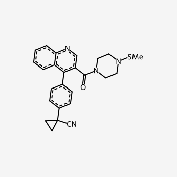 CSN1CCN(C(=O)c2cnc3ccccc3c2-c2ccc(C3(C#N)CC3)cc2)CC1